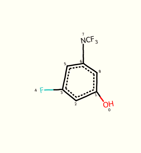 Oc1cc(F)cc(NC(F)(F)F)c1